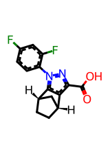 O=C(O)c1nn(-c2ccc(F)cc2F)c2c1[C@@H]1CC[C@H]2C1